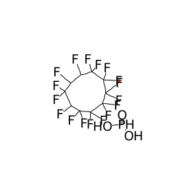 FC1C(F)C(F)(F)C(F)(F)C(F)(F)C(F)(F)C(F)(F)C(F)(F)C(F)C1(F)F.O=[PH](O)O